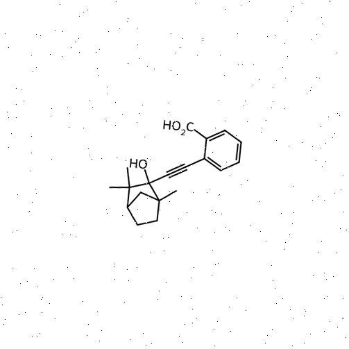 CC12CCC(C1)C(C)(C)C2(O)C#Cc1ccccc1C(=O)O